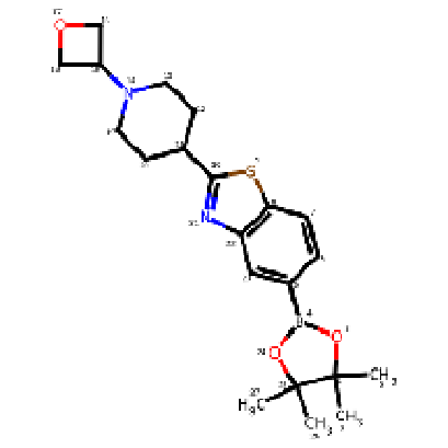 CC1(C)OB(c2ccc3sc(C4CCN(C5COC5)CC4)nc3c2)OC1(C)C